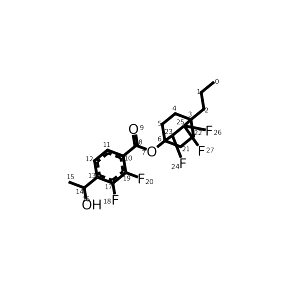 CCCC12CCC(OC(=O)c3ccc(C(C)O)c(F)c3F)(CC1)C(F)C2(F)F